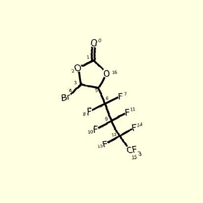 O=C1OC(Br)C(C(F)(F)C(F)(F)C(F)(F)C(F)(F)F)O1